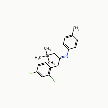 Cc1ccc(N=C(Cc2ccc(F)cc2Cl)C[Si](C)(C)C)cc1